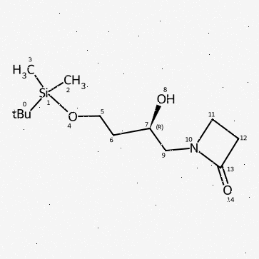 CC(C)(C)[Si](C)(C)OCC[C@@H](O)CN1CCC1=O